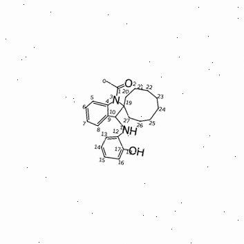 CC(=O)N1c2ccccc2C(Nc2ccccc2O)C12CCCCCCCC2